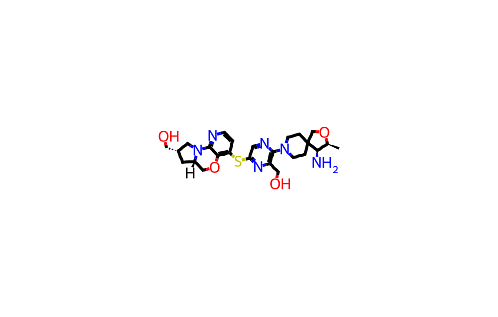 C[C@@H]1OCC2(CCN(c3ncc(Sc4ccnc5c4OC[C@@H]4C[C@H](CO)CN54)nc3CO)CC2)[C@@H]1N